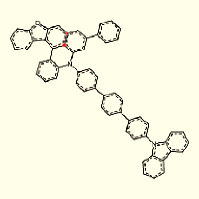 c1ccc(-c2cccc(N(c3ccc(-c4ccc(-c5ccc(-n6c7ccccc7c7ccccc76)cc5)cc4)cc3)c3ccccc3-c3cccc4oc5ccccc5c34)c2)cc1